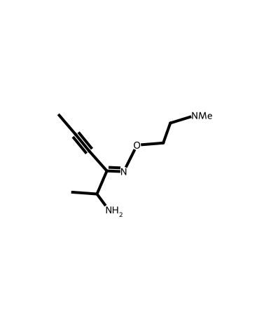 CC#C/C(=N\OCCNC)C(C)N